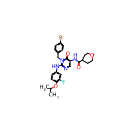 CC(C)Oc1ccc(Nc2ncc(NC(=O)C3CCOCC3)c(=O)n2Cc2ccc(Br)cc2)cc1F